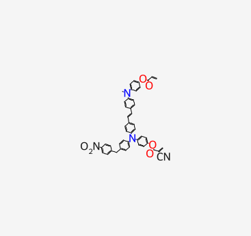 C=CC(=O)Oc1ccc(N(C)c2ccc(C=Cc3ccc(N(c4ccc(Cc5ccc([N+](=O)[O-])cc5)cc4)c4ccc(OC(=O)C(=C)C#N)cc4)cc3)cc2)cc1